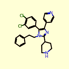 Clc1ccc(-c2c(-c3ccncc3)nc(C3CCNCC3)n2CCc2ccccc2)cc1Cl